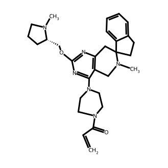 C=CC(=O)N1CCN(c2nc(OC[C@@H]3CCCN3C)nc3c2CN(C)C2(CCc4ccccc42)C3)CC1